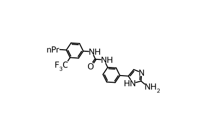 CCCc1ccc(NC(=O)Nc2cccc(-c3cnc(N)[nH]3)c2)cc1C(F)(F)F